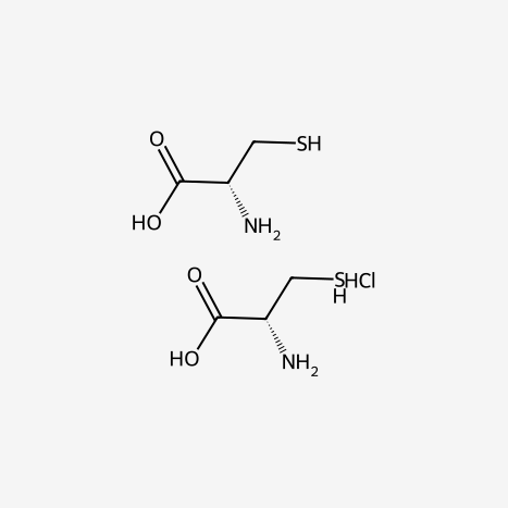 Cl.N[C@@H](CS)C(=O)O.N[C@@H](CS)C(=O)O